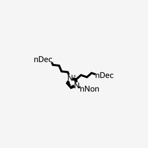 CCCCCCCCCCCCCC[n+]1ccn(CCCCCCCCC)c1CCCCCCCCCCCCC